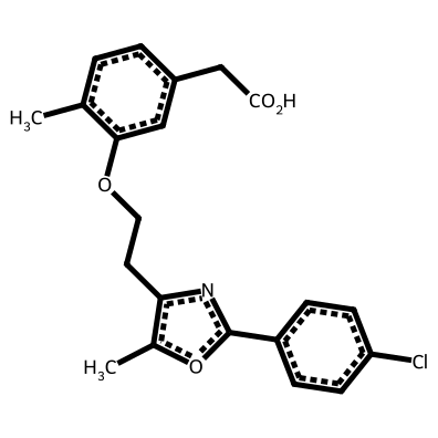 Cc1ccc(CC(=O)O)cc1OCCc1nc(-c2ccc(Cl)cc2)oc1C